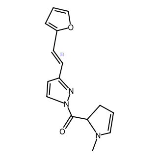 CN1C=CCC1C(=O)n1ccc(/C=C/c2ccco2)n1